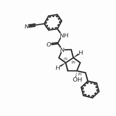 N#Cc1cccc(NC(=O)N2C[C@@H]3C[C@@](O)(Cc4ccccc4)C[C@@H]3C2)c1